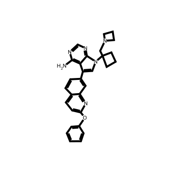 Nc1ncnc2c1c(-c1ccc3ccc(Oc4ccccc4)nc3c1)cn2C1(CN2CCC2)CCC1